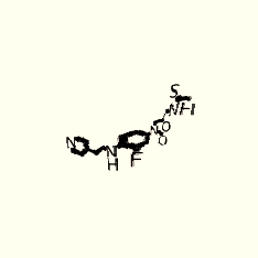 CC(=S)NC[C@H]1CN(c2ccc(NCCc3ccncc3)c(F)c2)C(=O)O1